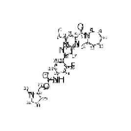 CCc1cc(C(=O)N2CCCCCC2C)nc2cc(-c3ccc(NC(=O)OCC4CCCN4C)cc3F)nn12